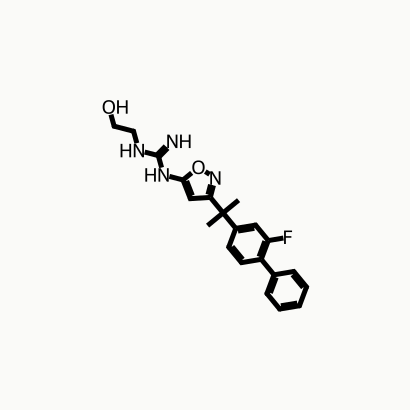 CC(C)(c1ccc(-c2ccccc2)c(F)c1)c1cc(NC(=N)NCCO)on1